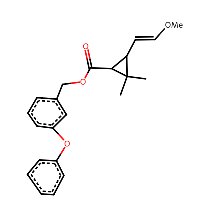 COC=CC1C(C(=O)OCc2cccc(Oc3ccccc3)c2)C1(C)C